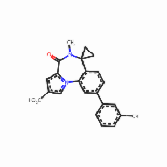 CN1C(=O)c2cc(C(=O)O)cn2-c2cc(-c3cccc(C#N)c3)ccc2C12CC2